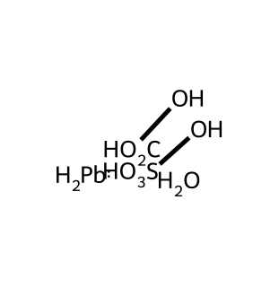 O.O=C(O)O.O=S(=O)(O)O.[PbH2]